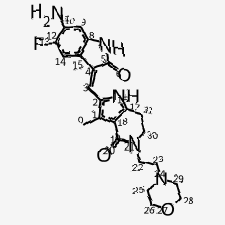 Cc1c(C=C2C(=O)Nc3cc(N)c(F)cc32)[nH]c2c1C(=O)N(CCN1CCOCC1)CC2